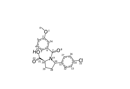 COc1cccc(C(=O)N2C(c3ccc(Cl)cc3)CC[C@H]2C(=O)O)c1